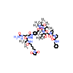 CC[C@H](C)C([C@@H](CC(=O)N1CCC[C@H]1C(=O)N1CCC[C@H]1C(=O)NCc1ccccc1)OC)N(C)C(=O)[C@@H](NC(=O)[C@H](C(C)C)N(C)C(=O)OCc1ccc(NC(=O)[C@H](CCCNC(N)=O)NC(=O)[C@@H](NC(=O)CCCCCN2C(=O)C=CC2=O)C(C)C)cc1)C(C)C